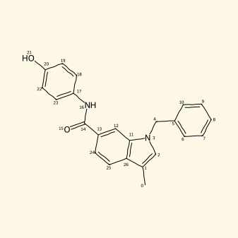 Cc1cn(Cc2ccccc2)c2cc(C(=O)Nc3ccc(O)cc3)ccc12